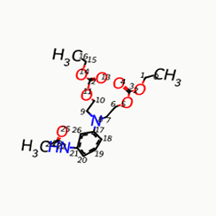 CCOC(=O)OCCN(CCOC(=O)OCC)c1cccc(NC(C)=O)c1